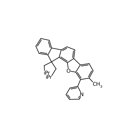 Cc1ccc2c(oc3c4c(ccc32)-c2ccccc2C4(CC(C)C)CC(C)C)c1-c1ccccn1